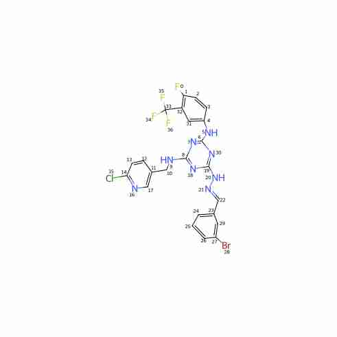 Fc1ccc(Nc2nc(NCc3ccc(Cl)nc3)nc(N/N=C/c3cccc(Br)c3)n2)cc1C(F)(F)F